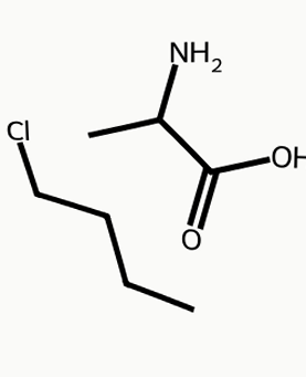 CC(N)C(=O)O.CCCCCl